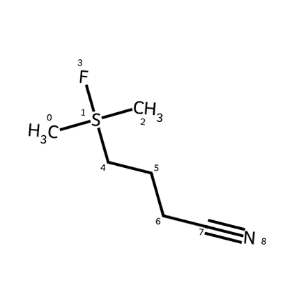 CS(C)(F)CCCC#N